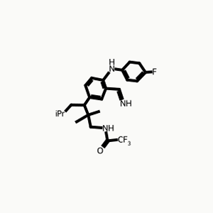 CC(C)CC(c1ccc(NC2=CC=C(F)CC2)c(C=N)c1)C(C)(C)CNC(=O)C(F)(F)F